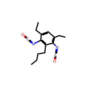 CCCCc1c(N=C=O)c(CC)cc(CC)c1N=C=O